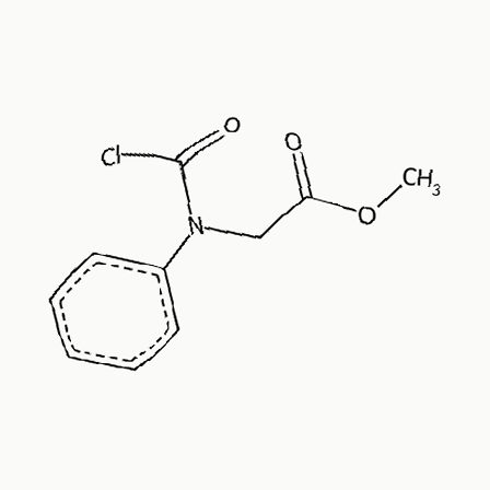 COC(=O)CN(C(=O)Cl)c1ccccc1